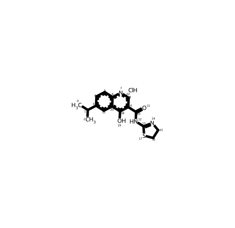 CC(C)c1ccc2ncc(C(=O)NC3=NCCS3)c(O)c2c1.Cl